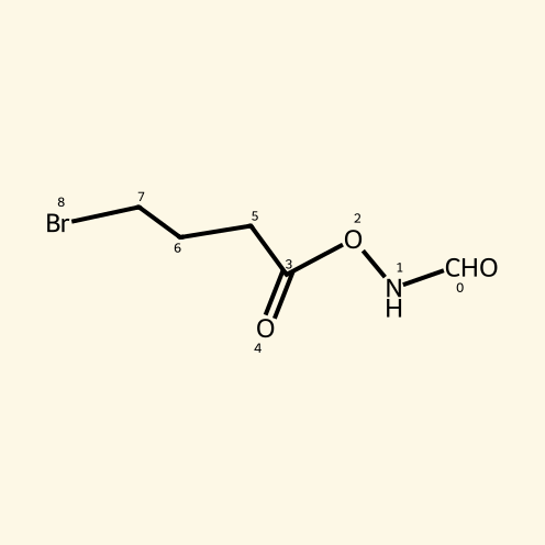 O=CNOC(=O)CCCBr